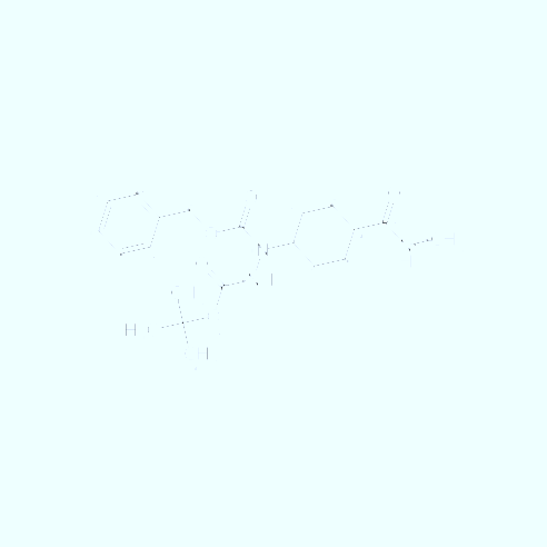 CNC(=O)C1CCC(N(NC(=O)OC(C)(C)C)C(=O)OCc2ccccc2)CC1